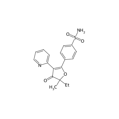 CCC1(C)OC(c2ccc(S(N)(=O)=O)cc2)=C(c2ccccn2)C1=O